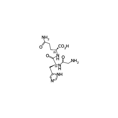 NCC(=O)N[C@@H](Cc1cnc[nH]1)C(=O)N[C@@H](CCC(N)=O)C(=O)O